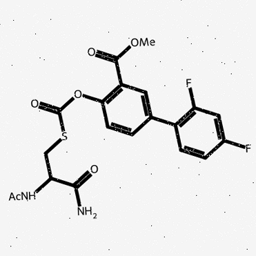 COC(=O)c1cc(-c2ccc(F)cc2F)ccc1OC(=O)SCC(NC(C)=O)C(N)=O